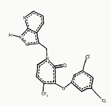 CC(=O)n1nc(Cn2ccc(C(F)(F)F)c(Oc3cc(Cl)cc(Cl)c3)c2=O)c2cccnc21